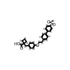 CS(=O)(=O)c1ccc(-c2ccc(CCOc3ccc(CC4(C(=O)O)CCC4)cc3)cc2)cc1